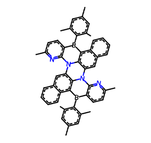 Cc1cc(C)c(B2c3ccc(C)nc3N3c4cc5ccccc5c5c4N(c4cc6ccccc6c2c43)c2nc(C)ccc2B5c2c(C)cc(C)cc2C)c(C)c1